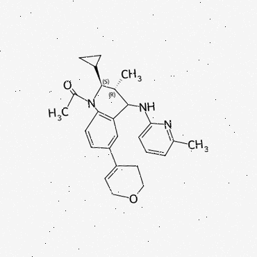 CC(=O)N1c2ccc(C3=CCOCC3)cc2C(Nc2cccc(C)n2)[C@@H](C)[C@@H]1C1CC1